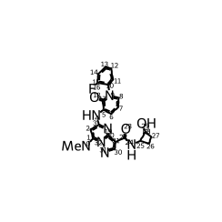 CNc1cc(Nc2cccn(-c3ccccc3F)c2=O)nc2c(C(=O)NC3CC[C@@H]3O)cnn12